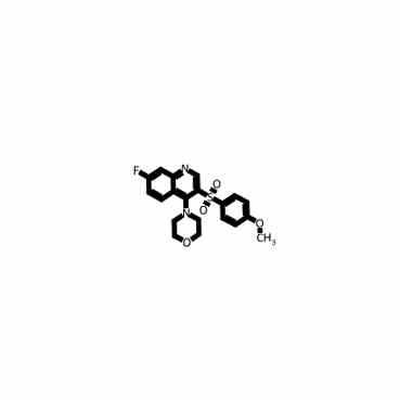 COc1ccc(S(=O)(=O)c2cnc3cc(F)ccc3c2N2CCOCC2)cc1